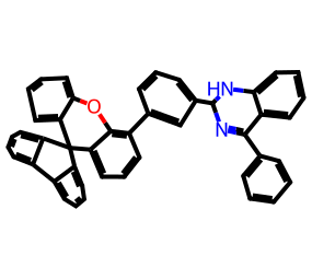 c1ccc(C2=NC(c3cccc(-c4cccc5c4Oc4ccccc4C54c5ccccc5-c5ccccc54)c3)Nc3ccccc32)cc1